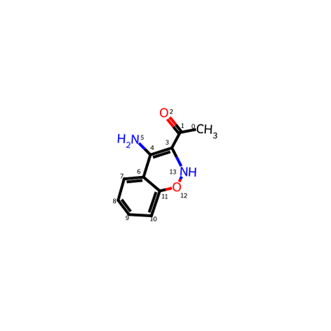 CC(=O)C1=C(N)c2ccccc2ON1